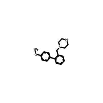 CC(C)Sc1ccc(-c2ccccc2CN2CC[N]CC2)cc1